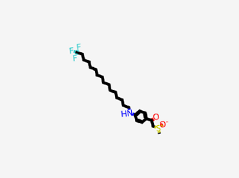 C[S+]([O-])CC(=O)c1ccc(NCCCCCCCCCCCCCCCC(F)(F)F)cc1